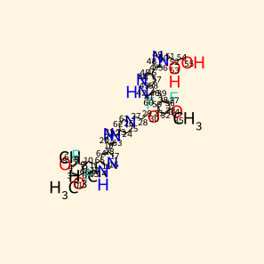 COc1cc(OC)c(F)c(Cc2c(C)[nH]c3ncc(-c4cnn(C5CCN(CCCOc6cc(OC)c(F)c(Cc7c[nH]c8ncc(-c9cnn(CC(O)CO)c9)cc78)c6F)CC5)c4)cc23)c1F